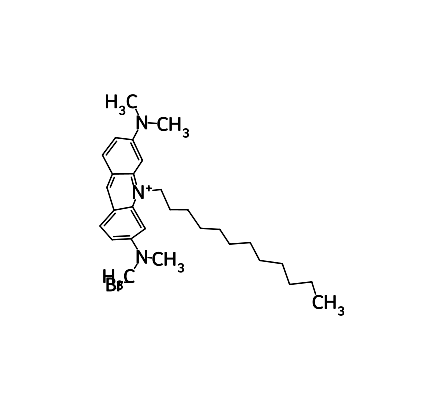 CCCCCCCCCCCC[n+]1c2cc(N(C)C)ccc2cc2ccc(N(C)C)cc21.[Br-]